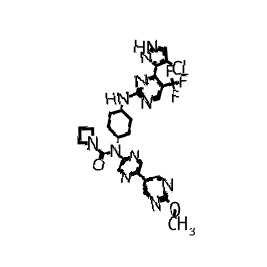 COc1ncc(-c2cnc(N(C(=O)N3CCC3)[C@H]3CC[C@H](Nc4ncc(C(F)(F)F)c(-c5n[nH]cc5Cl)n4)CC3)cn2)cn1